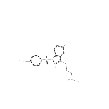 COc1ccc(S(=O)(=O)n2c(C)c(SCCN(C)C)c3cc(OC)ccc32)cc1